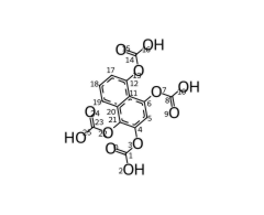 O=C(O)Oc1cc(OC(=O)O)c2c(OC(=O)O)cccc2c1OC(=O)O